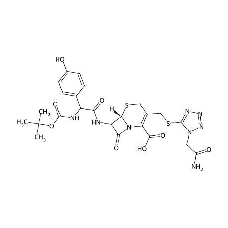 CC(C)(C)OC(=O)NC(C(=O)NC1C(=O)N2C(C(=O)O)=C(CSc3nnnn3CC(N)=O)CS[C@@H]12)c1ccc(O)cc1